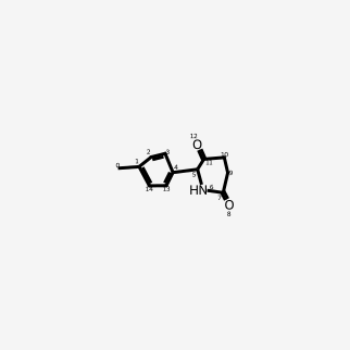 Cc1ccc(C2NC(=O)CCC2=O)cc1